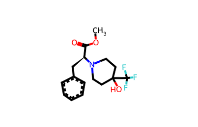 COC(=O)[C@H](Cc1ccccc1)N1CCC(O)(C(F)(F)F)CC1